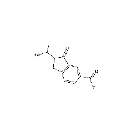 CC(O)C1Cc2ccc([N+](=O)[O-])cc2C1=O